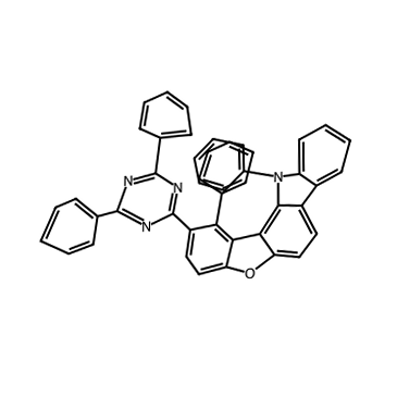 c1ccc(-c2nc(-c3ccccc3)nc(-c3ccc4oc5ccc6c7ccccc7n(-c7ccccc7)c6c5c4c3-c3ccccc3)n2)cc1